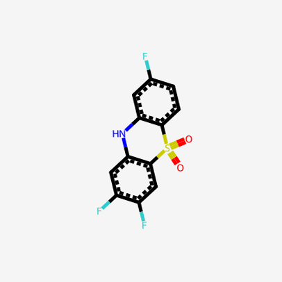 O=S1(=O)c2ccc(F)cc2Nc2cc(F)c(F)cc21